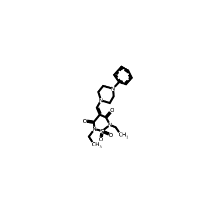 CCN1C(=O)C(=CN2CCN(c3ccccc3)CC2)C(=O)N(CC)S1(=O)=O